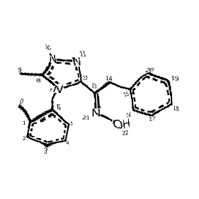 Cc1ccccc1-n1c(C)nnc1C(Cc1ccccc1)=NO